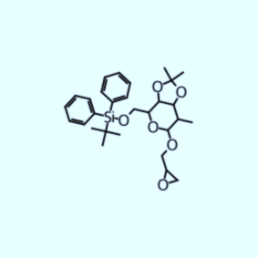 CC1C(OCC2CO2)OC(CO[Si](c2ccccc2)(c2ccccc2)C(C)(C)C)C2OC(C)(C)OC12